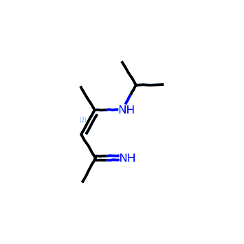 CC(=N)/C=C(/C)NC(C)C